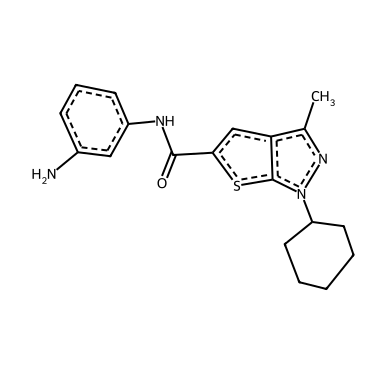 Cc1nn(C2CCCCC2)c2sc(C(=O)Nc3cccc(N)c3)cc12